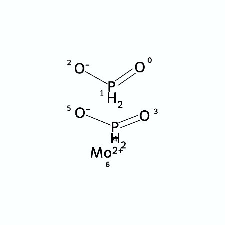 O=[PH2][O-].O=[PH2][O-].[Mo+2]